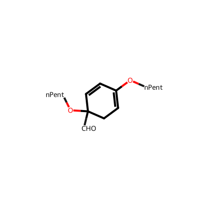 CCCCCOC1=CCC(C=O)(OCCCCC)C=C1